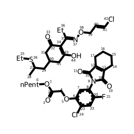 CCCCCOC(=O)COc1cc(N2C(=O)C3=C(CCCC3)C2=O)c(F)cc1Cl.CCSC(C)CC1CC(=O)C(/C(CC)=N/OC/C=C/Cl)=C(O)C1